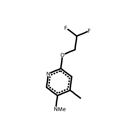 CNc1cnc(OCC(F)F)cc1C